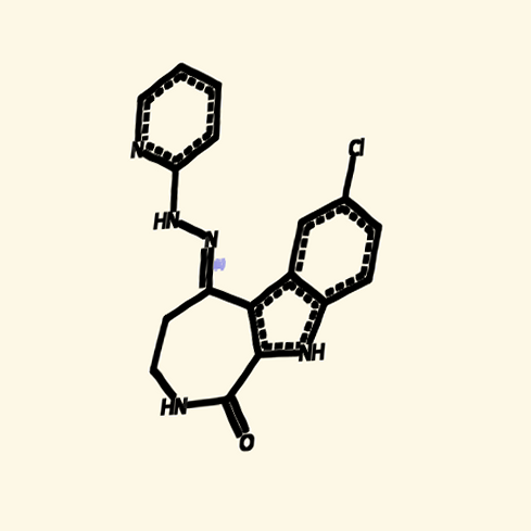 O=C1NCC/C(=N\Nc2ccccn2)c2c1[nH]c1ccc(Cl)cc21